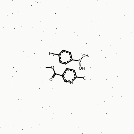 COC(=O)c1ccc(Cl)nc1.OB(O)c1ccc(F)cc1